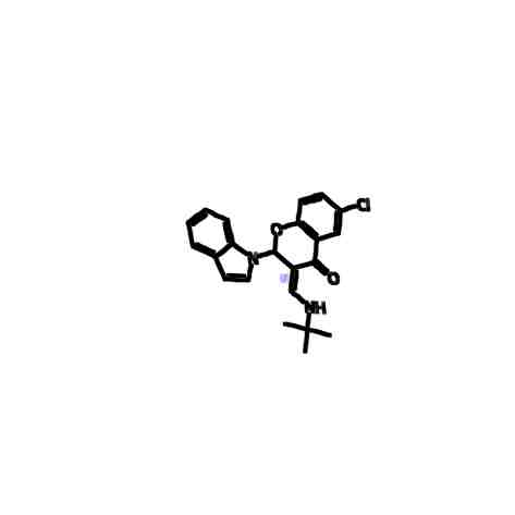 CC(C)(C)N/C=C1\C(=O)c2cc(Cl)ccc2OC1n1ccc2ccccc21